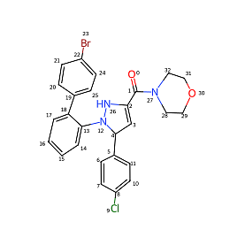 O=C(C1=CC(c2ccc(Cl)cc2)N(c2ccccc2-c2ccc(Br)cc2)N1)N1CCOCC1